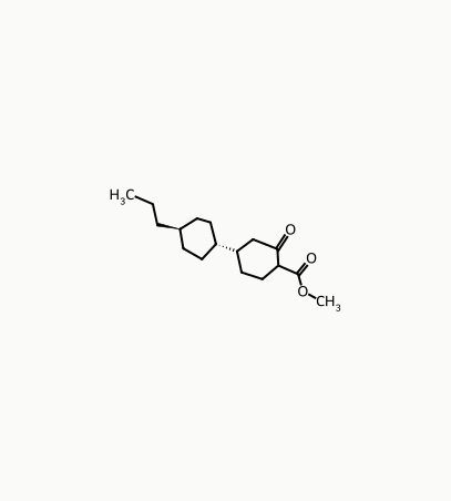 CCC[C@H]1CC[C@H](C2CCC(C(=O)OC)C(=O)C2)CC1